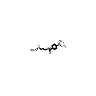 CN(C)c1ccc(C(=O)NCCCNC(=O)O)cc1